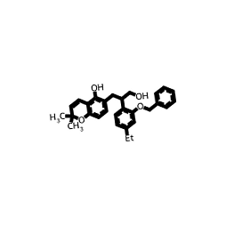 CCc1ccc(C(CO)Cc2ccc3c(c2O)C=CC(C)(C)O3)c(OCc2ccccc2)c1